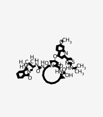 COc1ccc2c(O[C@@H]3C[C@H]4C(=O)N[C@]5(C(=O)O)CC5CCCCCCC[C@H](NC(=O)N[C@H](CN5C(=O)c6ccccc6C5=O)C(C)(C)C)C(=O)N4C3)cc(-c3csc(NC(C)C)n3)nc2c1